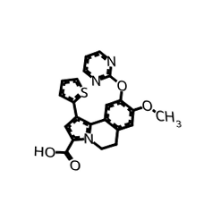 COc1cc2c(cc1Oc1ncccn1)-c1c(-c3cccs3)cc(C(=O)O)n1CC2